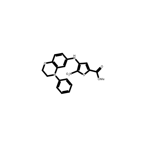 COC(=O)c1cc(Nc2ccc3c(c2)N(c2ccccc2)CCO3)c([N+](=O)[O-])s1